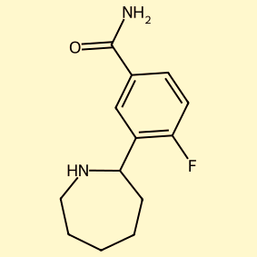 NC(=O)c1ccc(F)c(C2CCCCCN2)c1